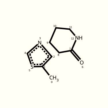 Cc1cncs1.O=C1CCCCN1